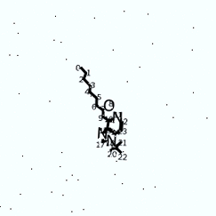 CCCCCCCC(=O)Cc1nccc2c1ncn2C(C)(C)C